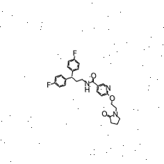 O=C(NCCC(c1ccc(F)cc1)c1ccc(F)cc1)c1ccc(OCCN2CCCC2=O)nc1